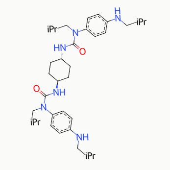 CC(C)CNc1ccc(N(CC(C)C)C(=O)N[C@H]2CC[C@H](NC(=O)N(CC(C)C)c3ccc(NCC(C)C)cc3)CC2)cc1